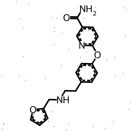 NC(=O)c1ccc(Oc2ccc(CCNCc3ccco3)cc2)nc1